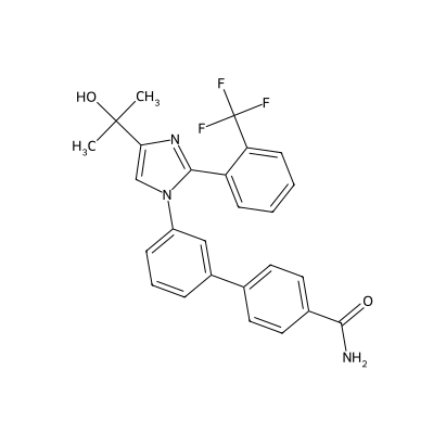 CC(C)(O)c1cn(-c2cccc(-c3ccc(C(N)=O)cc3)c2)c(-c2ccccc2C(F)(F)F)n1